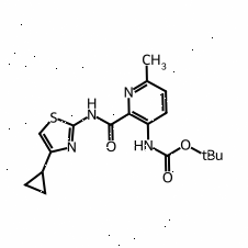 Cc1ccc(NC(=O)OC(C)(C)C)c(C(=O)Nc2nc(C3CC3)cs2)n1